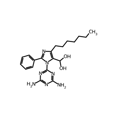 CCCCCCCc1nc(-c2ccccc2)n(-c2nc(N)nc(N)n2)c1C(O)O